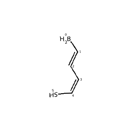 B/C=C/C=C\S